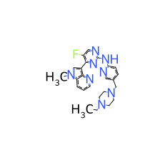 CCN1CCN(Cc2ccc(Nc3ncc(F)c(-c4cn(C)c5cccnc45)n3)nc2)CC1